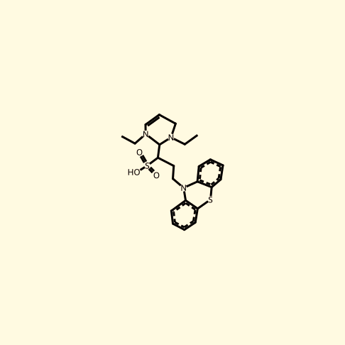 CCN1C=CCN(CC)C1C(CCN1c2ccccc2Sc2ccccc21)S(=O)(=O)O